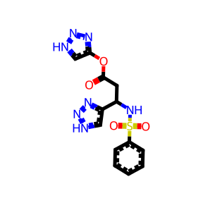 O=C(CC(NS(=O)(=O)c1ccccc1)c1c[nH]nn1)Oc1c[nH]nn1